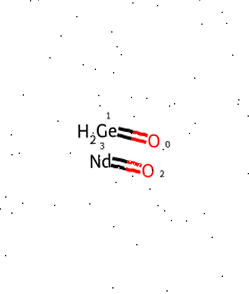 [O]=[GeH2].[O]=[Nd]